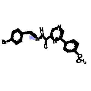 COc1ccc(-c2cncc(C(=O)N/N=C/c3ccc(Br)cc3)n2)cc1